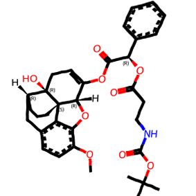 COc1ccc2c3c1O[C@H]1C(OC(=O)[C@H](OC(=O)CCNC(=O)OC(C)(C)C)c4ccccc4)=CC[C@@]4(O)[C@H](CCC[C@]314)C2